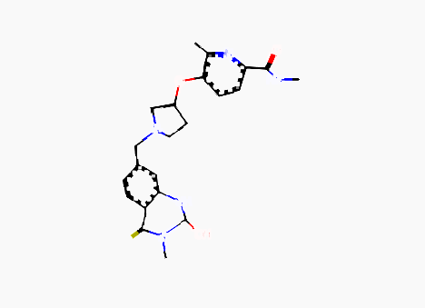 CNC(=O)c1ccc(OC2CCN(Cc3ccc4c(c3)NC(O)N(C)C4=S)C2)c(C)n1